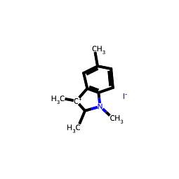 Cc1ccc2c(c1)[C+](C)C(C)N2C.[I-]